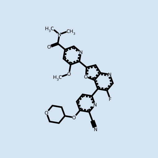 COc1cc(C(=O)N(C)C)cnc1-c1cc2ncc(F)c(-c3ccc(OC4CCOCC4)c(C#N)n3)c2o1